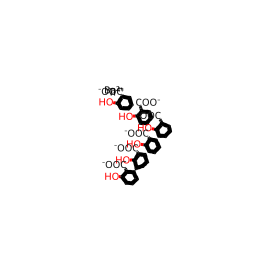 O=C([O-])c1ccccc1O.O=C([O-])c1ccccc1O.O=C([O-])c1ccccc1O.O=C([O-])c1ccccc1O.O=C([O-])c1ccccc1O.O=C([O-])c1ccccc1O.[Ba+2].[Ti+4]